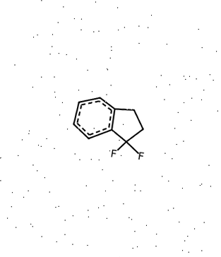 FC1(F)CCc2ccccc21